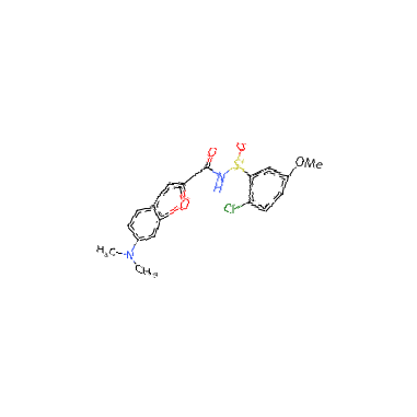 COc1ccc(Cl)c([S+]([O-])NC(=O)c2cc3ccc(N(C)C)cc3o2)c1